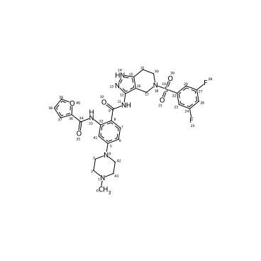 CN1CCN(c2ccc(C(=O)Nc3n[nH]c4c3CN(S(=O)(=O)c3cc(F)cc(F)c3)CC4)c(NC(=O)c3ccco3)c2)CC1